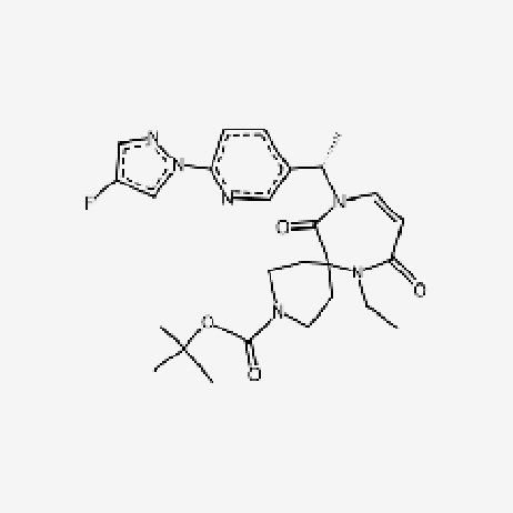 CCN1C(=O)C=CN([C@@H](C)c2ccc(-n3cc(F)cn3)nc2)C(=O)C12CCN(C(=O)OC(C)(C)C)CC2